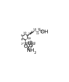 CC(C)(C)C(C)(OC(N)=O)c1cccc(C#CCCCO)c1